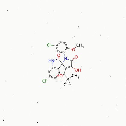 COc1ccc(Cl)cc1N1C(=O)C(O)=C(C(O)C2(C)CC2)C12C(=O)Nc1cc(Cl)ccc12